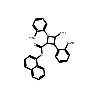 COc1ccccc1C1C(C(=O)O)[C@H](c2ccccc2OC)C1C(=O)Oc1cccc2ccccc12